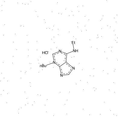 CCCCn1cnc(NCC)c2ncnc1-2.Cl